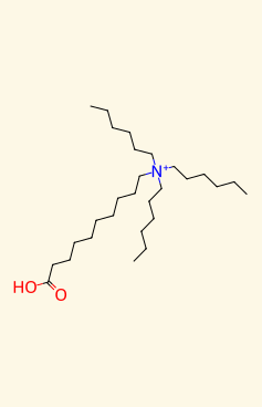 CCCCCC[N+](CCCCCC)(CCCCCC)CCCCCCCCCC(=O)O